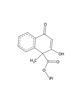 CC(C)OC(=O)C1(C)C(O)=CC(=O)c2ccccc21